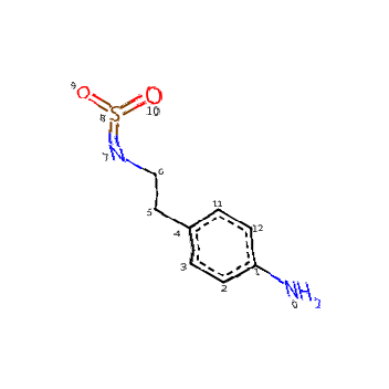 Nc1ccc(CCN=S(=O)=O)cc1